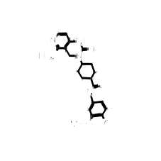 COc1cc(NC(=O)C2CCC(N3Cc4c(ccnc4C)NC3=O)CC2)ccc1C